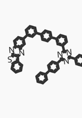 c1ccc(-c2ccc(-c3nc(-c4ccccc4)nc(-c4cccc(-c5ccc(-c6cccc(-c7ccc8nc9sc%10ccccc%10c9nc8c7)c6)cc5)c4)n3)cc2)cc1